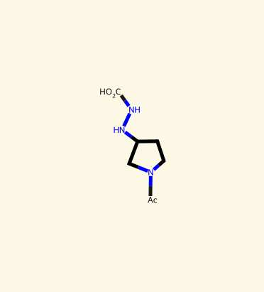 CC(=O)N1CCC(NNC(=O)O)C1